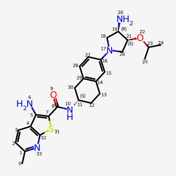 Cc1ccc2c(N)c(C(=O)N[C@H]3CCc4cc(N5C[C@@H](N)[C@@H](OC(C)C)C5)ccc4C3)sc2n1